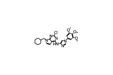 COc1cc(-n2cnc(Nc3nc(Cl)nc4c3ccn4CC3CCCCC3)c2)cc(OC)c1OC